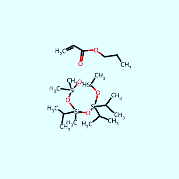 C=CC(=O)OCCC.CC(C)[Si]1(C)O[Si](C)(C)O[SiH](C)O[Si](C(C)C)(C(C)C)O1